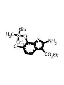 CCOC(=O)c1c(N)sc2c(O[Si](C)(C)C(C)(C)C)c(Cl)ccc12